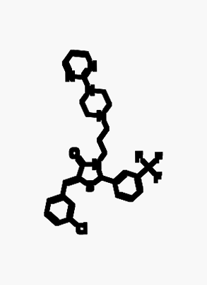 O=C1C(=Cc2cccc(Cl)c2)SC(c2cccc(C(F)(F)F)c2)N1CCCN1CCN(c2ncccn2)CC1